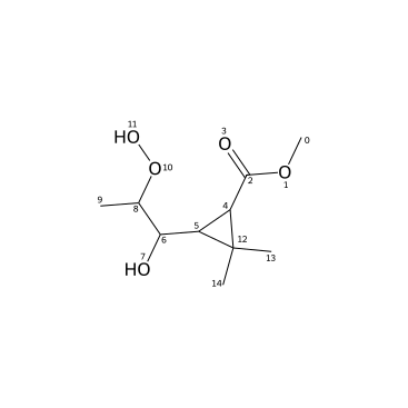 COC(=O)C1C(C(O)C(C)OO)C1(C)C